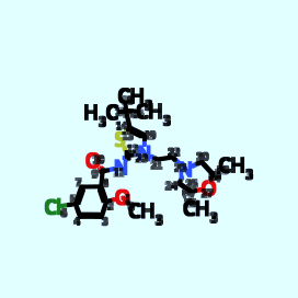 COc1ccc(Cl)cc1C(=O)N=c1sc(C(C)(C)C)cn1CCN1C[C@@H](C)O[C@@H](C)C1